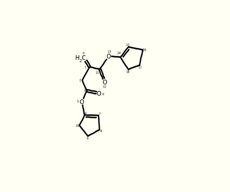 C=C(CC(=O)OC1=CCCC1)C(=O)OC1=CCCC1